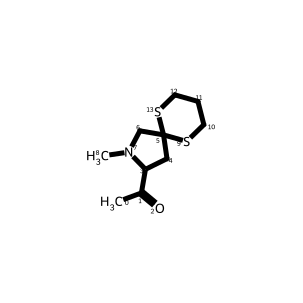 CC(=O)C1CC2(CN1C)SCCCS2